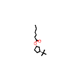 CCCCCC(=O)O[C@H]1CC[C@H](C(C)(C)C)C1